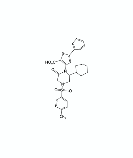 O=C(O)c1sc(-c2ccccc2)cc1N1C(=O)CN(S(=O)(=O)c2ccc(C(F)(F)F)cc2)CC1C1CCCCC1